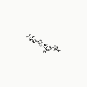 CC(C)Nc1cc(Nc2ccnc(-c3cnn(S(=O)(=O)C4CC4)c3)n2)ncc1C#Cc1cnn(C(C)C)c1